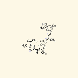 CC(=O)O[C@@H](C)/C=C\C(=O)N[C@@H]1C[C@H](C)[C@H](C/C=C(C)/C=C/[C@@H]2C[C@]3(CO3)C[C@@](C)(O)O2)O[C@@H]1C